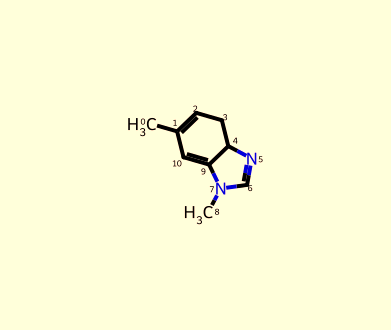 CC1=CCC2N=CN(C)C2=C1